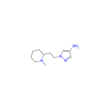 CN1CCCCC1CCn1cc(N)cn1